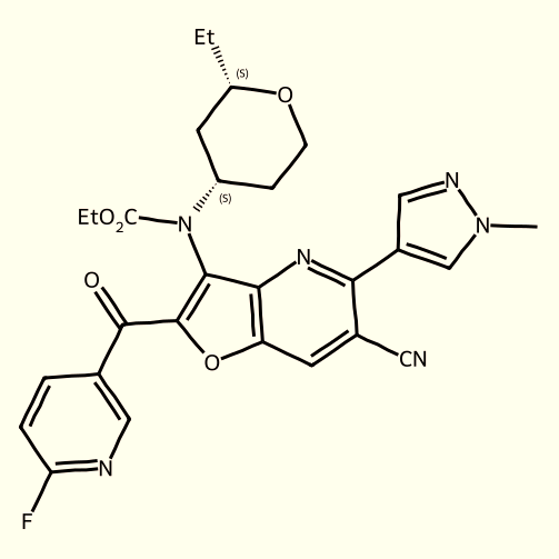 CCOC(=O)N(c1c(C(=O)c2ccc(F)nc2)oc2cc(C#N)c(-c3cnn(C)c3)nc12)[C@H]1CCO[C@@H](CC)C1